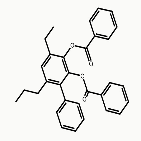 CCCc1cc(CC)c(OC(=O)c2ccccc2)c(OC(=O)c2ccccc2)c1-c1ccccc1